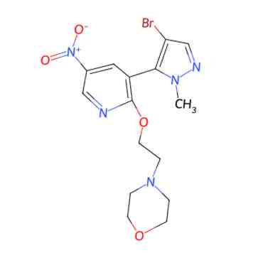 Cn1ncc(Br)c1-c1cc([N+](=O)[O-])cnc1OCCN1CCOCC1